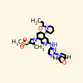 C=CC(=O)N1CCCC[C@@H]1c1ccc(N2C[C@H](CS(C)(=O)=O)[C@H]2C)c2cnc(Nc3ccnc(N4CC[C@H]5C[C@@H]4CO5)n3)cc12